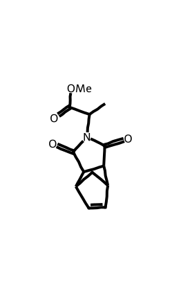 COC(=O)C(C)N1C(=O)C2C3C=CC(C3)C2C1=O